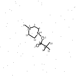 CN1CCN(OC(=O)C(C)(C)C)CC1